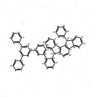 c1ccc(-c2cc(-c3ccccc3)nc(-c3cccc(-c4ccccc4-n4c5ccccc5c5c4ccc4c6ccccc6n(-c6ccccc6)c45)c3)c2)cc1